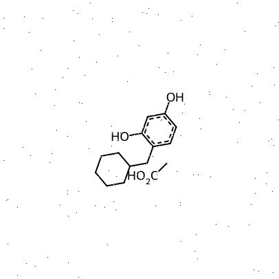 CC(=O)O.Oc1ccc(CC2CCCCC2)c(O)c1